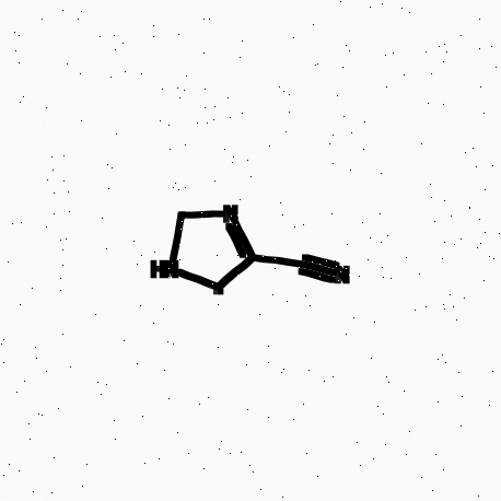 N#CC1=NCN[C]1